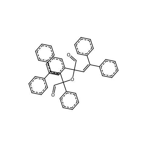 O=CC(C=C(c1ccccc1)c1ccccc1)(OC(C=O)(C=C(c1ccccc1)c1ccccc1)c1ccccc1)c1ccccc1